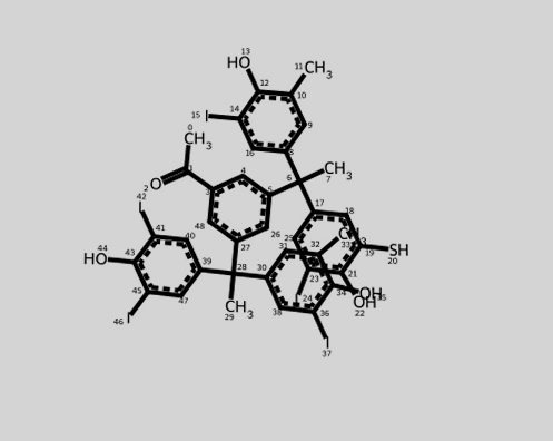 CC(=O)c1cc(C(C)(c2cc(C)c(O)c(I)c2)c2cc(S)c(O)c(I)c2)cc(C(C)(c2cc(C)c(O)c(I)c2)c2cc(I)c(O)c(I)c2)c1